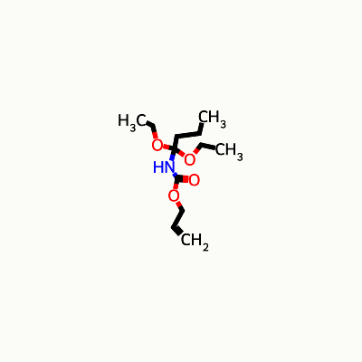 C=CCOC(=O)NC(CCC)(OCC)OCC